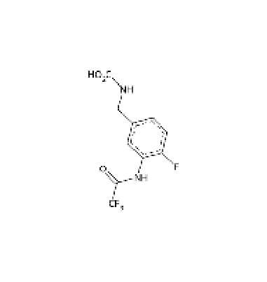 O=C(O)NCc1ccc(F)c(NC(=O)C(F)(F)F)c1